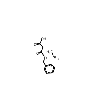 CN.O=C(O)CC(=O)OCc1ccccc1